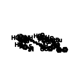 Cc1ncsc1-c1ccc([C@H](C)NC(=O)[C@@H]2C[C@@H](O)CN2C(=O)[C@@H](NC(=O)CCCCCCCCNC(=O)COc2ccc3c(c2)CN(C(=O)[C@@H](NC(=O)c2cc4cc(C(F)(F)P(=O)(O)O)ccc4s2)C(C)(C)C)[C@H](C(=O)N2CCC[C@H](c4ccccc4)C2)C3)C(C)(C)C)cc1